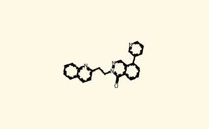 O=c1c2cccc(-c3cccnc3)c2cnn1CCc1ccc2ccccc2n1